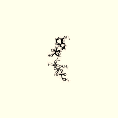 COP(=O)(O)OP(=O)(OC)OP(=O)(O)OC[C@H]1O[C@@H](n2cnc3c(N)ncnc32)C(Cl)(Cl)[C@@H]1O